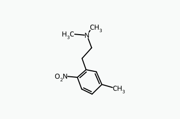 Cc1ccc([N+](=O)[O-])c(CCN(C)C)c1